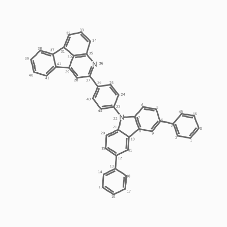 c1ccc(-c2ccc3c(c2)c2cc(-c4ccccc4)ccc2n3-c2ccc(-c3cc4c5c(cccc5n3)-c3ccccc3-4)cc2)cc1